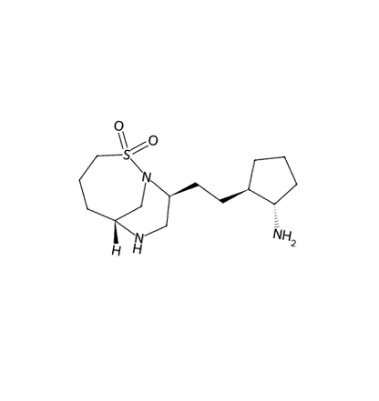 N[C@H]1CCC[C@@H]1CC[C@H]1CN[C@@H]2CCCS(=O)(=O)N1C2